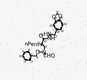 CCCCC[C@H](CN(C=O)OCc1ccccc1)C(=O)NNCc1ccc2c(c1)OCO2